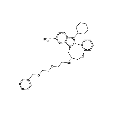 O=C(O)c1ccc2c(C3CCCCC3)c3n(c2c1)C[C@@H](NCCOCCOCc1ccccc1)COc1ccccc1-3